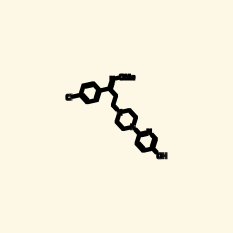 CO/N=C(\CCN1CCN(c2ccc(O)cn2)CC1)c1ccc(Cl)cc1